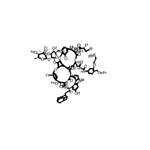 CCCOCc1ccc(NC(=O)NC(=O)C[C@@H]2CC(=O)[C@H](NC(=O)[C@H](CC)CC(C)C)[C@H](O)c3ccc(c(Cl)c3)Oc3cc4cc(c3O[C@@H]3O[C@H](CO)[C@@H](O)[C@H](O)[C@H]3O[C@H]3C[C@](C)(N)[C@H](O)[C@H](C)O3)Oc3ccc(cc3Cl)[C@@H](O)[C@@H]3NC(=O)[C@H](CC(=O)[C@@H]4NC2=O)c2ccc(O)c(c2)-c2c(O)cc(O)cc2[C@@H](C(=O)CC2C4CC5CC(C4)CC2C5)NC3=O)cc1OCCNC